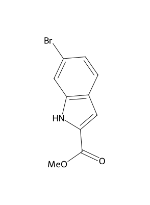 COC(=O)c1cc2ccc(Br)cc2[nH]1